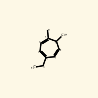 CC1=CC=C(CF)C=CC1F